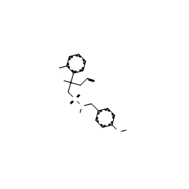 C=CCC(C)(CS(=O)(=O)N(C)Cc1ccc(OC)cc1)c1ccccc1F